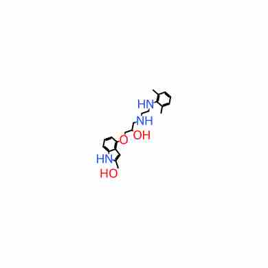 Cc1cccc(C)c1NCCNCC(O)COc1cccc2[nH]c(CO)cc12